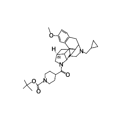 COc1ccc2c(c1)C13CCN(CC4CC4)C(C2)C12CCC1C3[C@@H](CN1C(=O)C1CCN(C(=O)OC(C)(C)C)CC1)C2